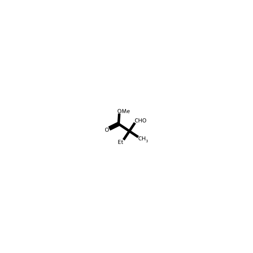 CCC(C)(C=O)C(=O)OC